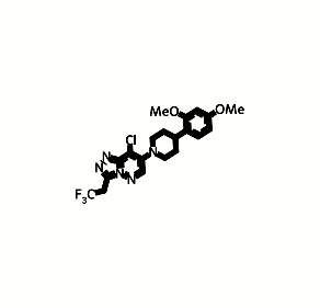 COc1ccc(C2CCN(c3cnn4c(CC(F)(F)F)nnc4c3Cl)CC2)c(OC)c1